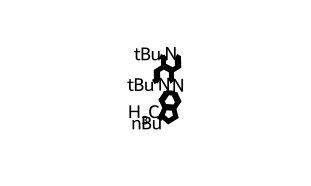 CCCCC1(C)CCc2cc3nc4c5ccnc(C(C)(C)C)c5cc(C(C)(C)C)n4c3cc21